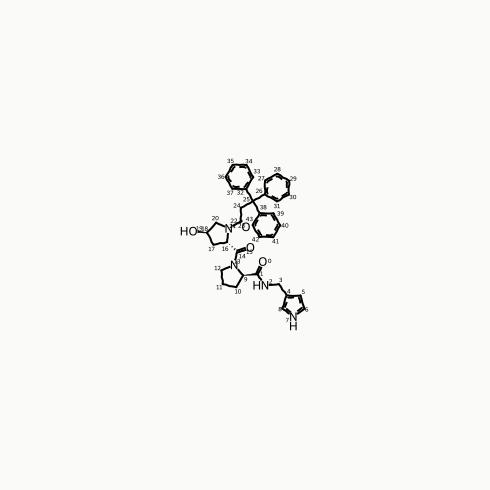 O=C(NCc1cc[nH]c1)[C@H]1CCCN1C(=O)[C@@H]1C[C@@H](O)CN1C(=O)CC(c1ccccc1)(c1ccccc1)c1ccccc1